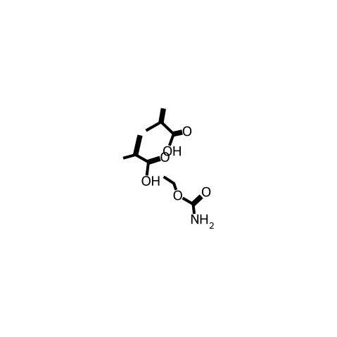 C=C(C)C(=O)O.C=C(C)C(=O)O.CCOC(N)=O